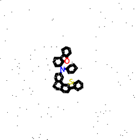 c1ccc(N(c2ccc3ccc4ccc5c6ccccc6sc5c4c3c2)c2cccc3c2oc2ccccc23)cc1